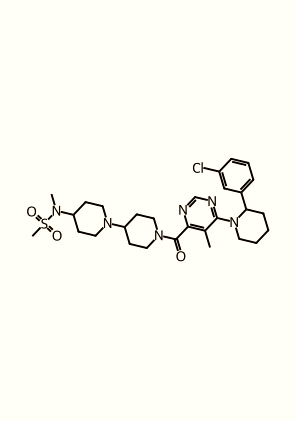 Cc1c(C(=O)N2CCC(N3CCC(N(C)S(C)(=O)=O)CC3)CC2)ncnc1N1CCCCC1c1cccc(Cl)c1